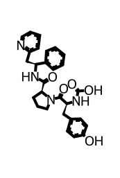 O=C(O)N[C@@H](Cc1ccc(O)cc1)C(=O)N1CCC[C@H]1C(=O)N[C@@H](Cc1ccccn1)c1ccccc1